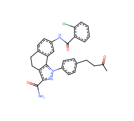 CC(=O)CCc1ccc(-n2nc(C(N)=O)c3c2-c2cc(NC(=O)c4ccccc4Cl)ccc2CC3)cc1